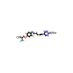 CNc1ncc(C#C/C=C/c2nc3ccc(OCC(CF)N=O)cc3s2)cn1